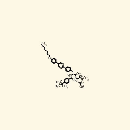 CCCCCCCOc1ccc(-c2cnc(-c3ccc(C[C@H](NC(=O)c4ccc(C(C)(C)C)cc4)C(=O)N[C@@H](CC(=O)O)C(=O)NC)cc3)nc2)cc1